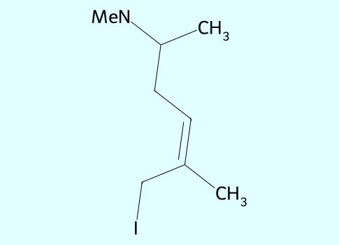 CNC(C)C/C=C(/C)CI